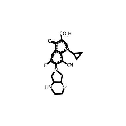 N#Cc1c(N2CC3NCCOC3C2)c(F)cc2c(=O)c(C(=O)O)cn(C3CC3)c12